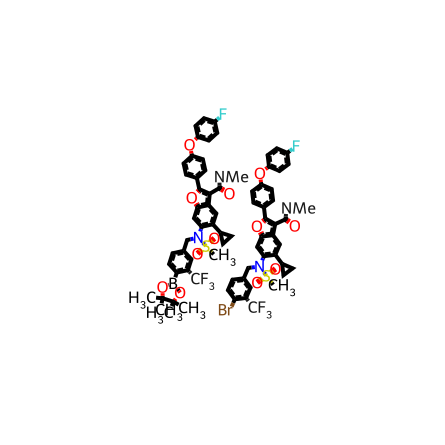 CNC(=O)c1c(-c2ccc(Oc3ccc(F)cc3)cc2)oc2cc(N(Cc3ccc(B4OC(C)(C)C(C)(C)O4)c(C(F)(F)F)c3)S(C)(=O)=O)c(C3CC3)cc12.CNC(=O)c1c(-c2ccc(Oc3ccc(F)cc3)cc2)oc2cc(N(Cc3ccc(Br)c(C(F)(F)F)c3)S(C)(=O)=O)c(C3CC3)cc12